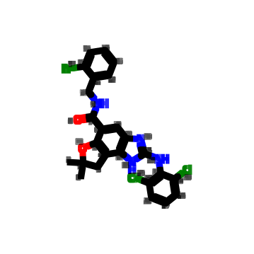 CC1(C)Cc2c(c(C(=O)NCc3ccccc3Br)cc3nc(Nc4c(Cl)cccc4Cl)[nH]c23)O1